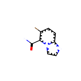 NC(=O)c1c(Br)ccc2nccn12